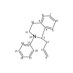 C=CCC1c2ccccc2CCN1c1ccccc1